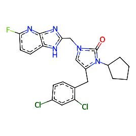 O=c1n(Cc2nc3nc(F)ccc3[nH]2)cc(Cc2ccc(Cl)cc2Cl)n1C1CCCC1